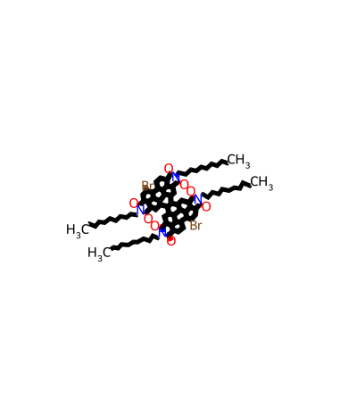 CCCCCCCCCCCn1c(=O)c2ccc3c4c(Br)cc5c(=O)n(CCCCCCCCCCC)c(=O)c6cc7c8c9cc%10c(=O)n(CCCCCCCCCCC)c(=O)c%11ccc%12c%13c(Br)cc%14c(=O)n(CCCCCCCCCCC)c(=O)c%15cc(c8c8cc(c1=O)c2c3c8c7c4c56)c(c9c%12c%11%10)c%13c%14%15